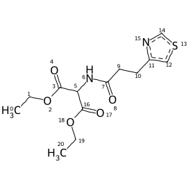 CCOC(=O)C(NC(=O)CCc1cscn1)C(=O)OCC